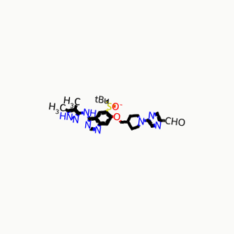 Cc1[nH]nc(Nc2ncnc3cc(OCC4CCN(c5cnc(C=O)cn5)CC4)c([S+]([O-])C(C)(C)C)cc23)c1C